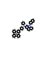 c1ccc(N(c2ccc(-c3ccc([Si](c4ccccc4)(c4ccccc4)c4ccccc4)cc3)cc2)c2cc3ccc4cccc5c4c3c(c2)n5-c2ccc3ccccc3c2)cc1